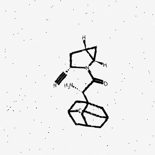 N#C[C@@H]1C[C@@H]2C[C@@H]2N1C(=O)[C@@H](N)C12CC3CC(CC(C3)C1)C2